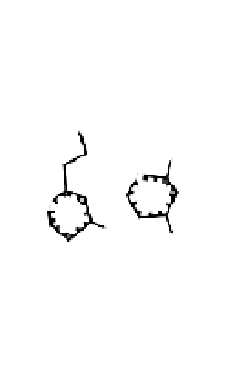 Cc1ccnc(C)c1.Cc1ccnc(CCO)c1